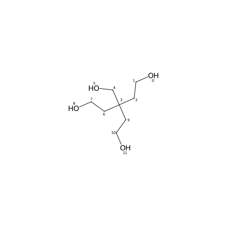 OCCC(CO)(CCO)CCO